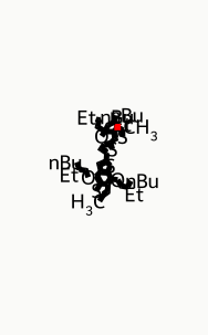 CCCCC(CC)COc1c2cc(-c3cc4c(s3)-c3sc(C)cc3C(CC(CC)CCCC)(CC(CC)CCCC)O4)sc2c(OCC(CC)CCCC)c2cc(C)sc12